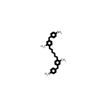 Cc1cc(Cc2ccc(N)cc2)ccc1CCCCCCc1ccc(Cc2ccc(N)cc2)cc1C